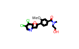 COc1cc(C(=O)N(C)CCO)ccc1-c1cc2ncc(Cl)c(Cl)c2o1